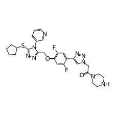 O=C(Cn1cc(-c2cc(F)c(OCc3nnc(SC4CCCC4)n3-c3cccnc3)cc2F)nn1)N1CCNCC1